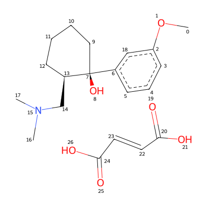 COc1cccc([C@@]2(O)CCCC[C@@H]2CN(C)C)c1.O=C(O)/C=C/C(=O)O